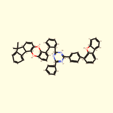 CC1(C)c2ccccc2C2C3=C(C=CC21)Oc1c(cccc1-c1ccccc1-c1nc(-c2ccccc2)nc(-c2ccc(-c4cccc5c4oc4ccccc45)cc2)n1)O3